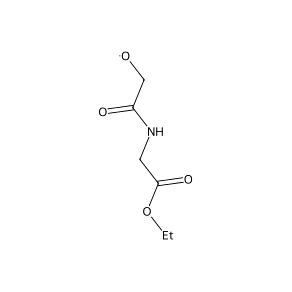 CCOC(=O)CNC(=O)C[O]